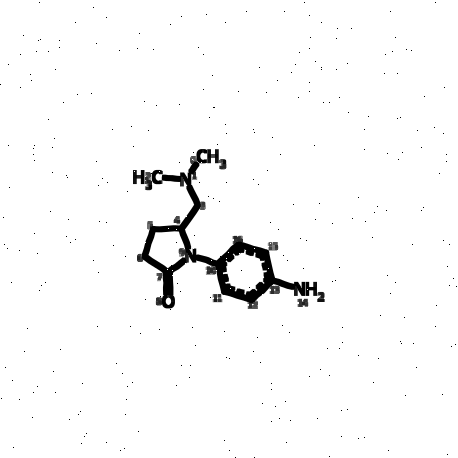 CN(C)CC1CCC(=O)N1c1ccc(N)cc1